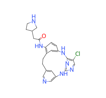 O=C(CC1CCNC1)Nc1ccc2cc1CCc1cncc(c1)Nc1ncc(Cl)c(n1)N2